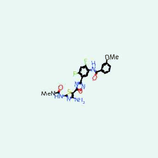 CNC(=O)Nc1nc(N)c(-c2nc(-c3cc(NC(=O)c4cccc(OC)c4)c(F)cc3F)no2)s1